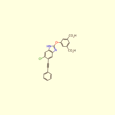 O=C(O)c1cc(Oc2nc3cc(C#Cc4ccccc4)c(Cl)cc3[nH]2)cc(C(=O)O)c1